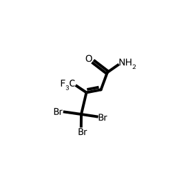 NC(=O)/C=C(\C(F)(F)F)C(Br)(Br)Br